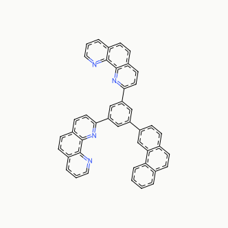 c1ccc2c(c1)ccc1ccc(-c3cc(-c4ccc5ccc6cccnc6c5n4)cc(-c4ccc5ccc6cccnc6c5n4)c3)cc12